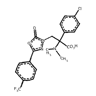 CN(C)C(Cn1nc(-c2ccc(C(F)(F)F)cc2)oc1=O)(C(=O)O)c1ccc(Cl)cc1